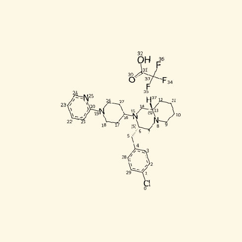 Clc1ccc(C[C@H]2CN3CCCC[C@H]3CN2C2CCN(c3ccccn3)CC2)cc1.O=C(O)C(F)(F)F